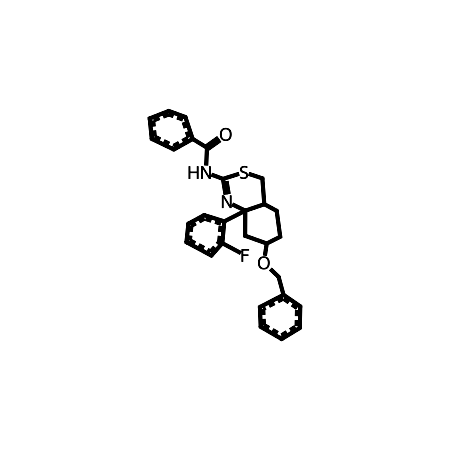 O=C(NC1=NC2(c3ccccc3F)CC(OCc3ccccc3)CCC2CS1)c1ccccc1